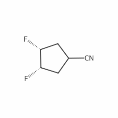 N#CC1C[C@@H](F)[C@@H](F)C1